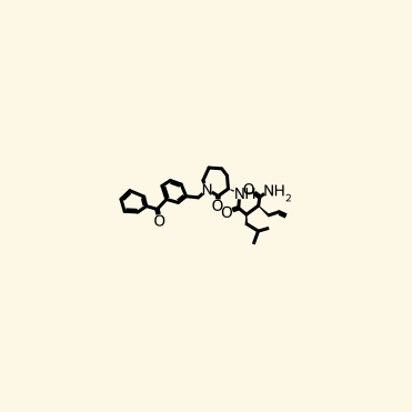 C=CC[C@H](C(N)=O)[C@@H](CC(C)C)C(=O)N[C@H]1CCCCN(Cc2cccc(C(=O)c3ccccc3)c2)C1=O